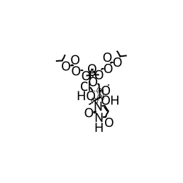 CO[C@](CCl)(COP(=O)(OCOC(=O)OC(C)C)OCOC(=O)OC(C)C)[C@@H](O)[C@@](C)(O)n1ccc(=O)[nH]c1=O